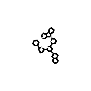 c1ccc(-c2cccc(-c3cc(-c4ccc5ccccc5c4)cc(-c4cccc(-n5c6ccccc6c6ccncc65)n4)n3)n2)cc1